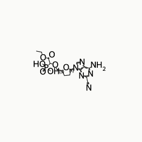 CCOC(=O)C(OC[C@@H]1CC[C@H](n2cnc3c(N)nc(C#N)nc32)O1)P(=O)(O)O